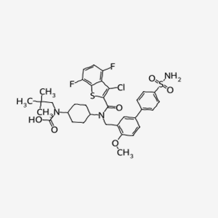 COc1ccc(-c2ccc(S(N)(=O)=O)cc2)cc1CN(C(=O)c1sc2c(F)ccc(F)c2c1Cl)C1CCC(N(CC(C)(C)C)C(=O)O)CC1